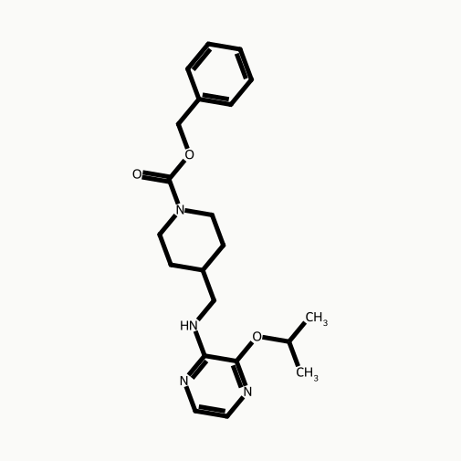 CC(C)Oc1nccnc1NCC1CCN(C(=O)OCc2ccccc2)CC1